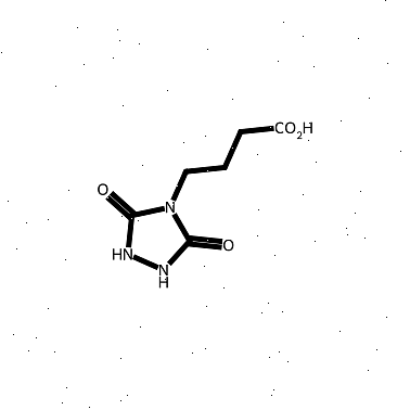 O=C(O)CCCn1c(=O)[nH][nH]c1=O